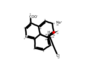 O=C([O-])C1=CN=C2C=CC=CC23C1=CCC1=CC=C(Cl)NC13.[Na+]